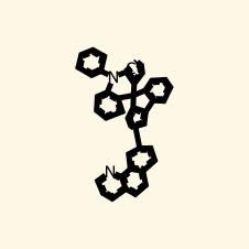 c1ccc(N2c3ccccc3C3(c4ccccc4-c4cc(-c5ccc6ccc7cccnc7c6c5)ccc43)c3ccccc32)cc1